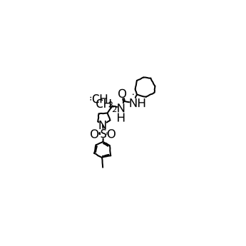 Cc1ccc(S(=O)(=O)N2CCC(CNC(=O)N[C]3CCCCCCC3)C2)cc1.[CH2].[CH2]